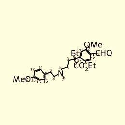 CCOC(=O)C(CC)(CCCN(C)CCc1ccc(OC)cc1)c1ccc(C=O)c(OC)c1